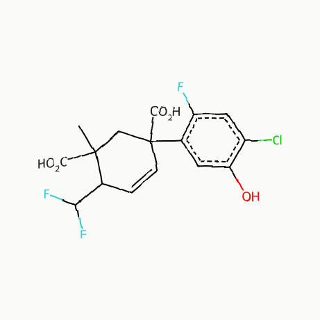 CC1(C(=O)O)CC(C(=O)O)(c2cc(O)c(Cl)cc2F)C=CC1C(F)F